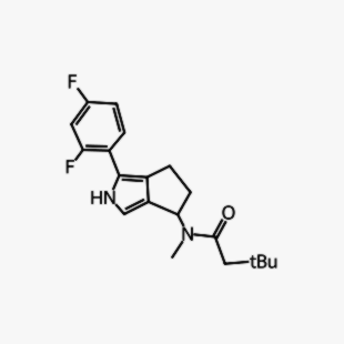 CN(C(=O)CC(C)(C)C)C1CCc2c1c[nH]c2-c1ccc(F)cc1F